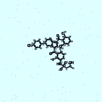 CC(O)CS(=O)(=O)Nc1ccc(F)c(C(=O)c2cn(C(=O)c3c(Cl)cccc3Cl)c3ncc(-c4ccc(Cl)cc4)cc23)c1F